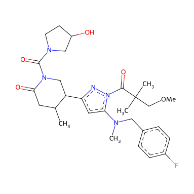 COCC(C)(C)C(=O)n1nc(C2CN(C(=O)N3CCC(O)C3)C(=O)CC2C)cc1N(C)Cc1ccc(F)cc1